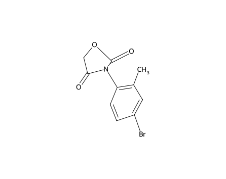 Cc1cc(Br)ccc1N1C(=O)COC1=O